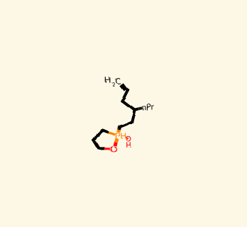 C=CCC(CCC)CC[PH]1(O)CCCO1